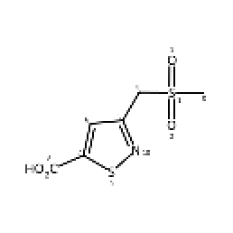 CS(=O)(=O)Cc1cc(C(=O)O)sn1